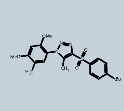 COc1cc(OC)c(-n2nnc(S(=O)(=O)c3ccc(C(C)(C)C)cc3)c2C)cc1C